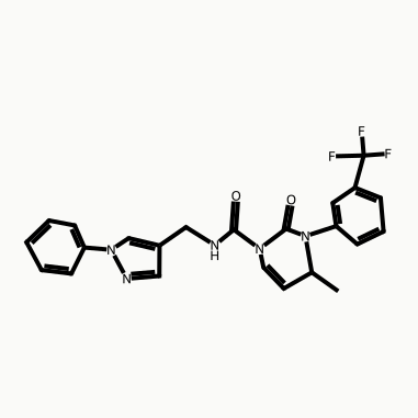 CC1C=CN(C(=O)NCc2cnn(-c3ccccc3)c2)C(=O)N1c1cccc(C(F)(F)F)c1